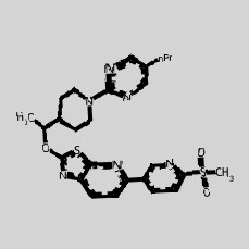 CCCc1cnc(N2CCC(C(C)Oc3nc4ccc(-c5ccc(S(C)(=O)=O)nc5)nc4s3)CC2)nc1